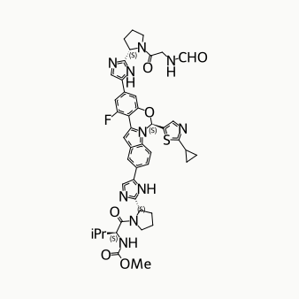 COC(=O)N[C@H](C(=O)N1CCC[C@H]1c1ncc(-c2ccc3c(c2)cc2n3[C@H](c3cnc(C4CC4)s3)Oc3cc(-c4cnc([C@@H]5CCCN5C(=O)CNC=O)[nH]4)cc(F)c3-2)[nH]1)C(C)C